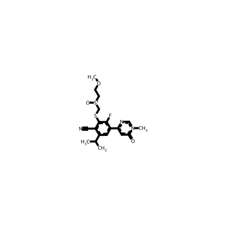 COCC[S+]([O-])CSc1c(F)c(-c2cc(=O)n(C)cn2)cc(C(C)C)c1C#N